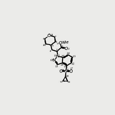 COC(=O)C(CC1CCOCC1)n1ncc2c(S(=O)(=O)C3CC3)cccc21